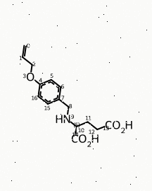 C=CCOc1ccc(CN[C@@H](CCC(=O)O)C(=O)O)cc1